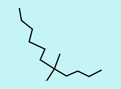 [CH2]C(C)(CCCC)CCCCCC